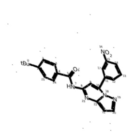 CC(C)(C)c1ccc(C(=O)Nc2cc(-c3cccc([N+](=O)[O-])c3)n3nccc3n2)cc1